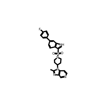 Cc1nc2cnccc2n1C1CCN(S(=O)(=O)c2c[nH]c3cc(-c4ccc(F)cc4)ccc23)CC1